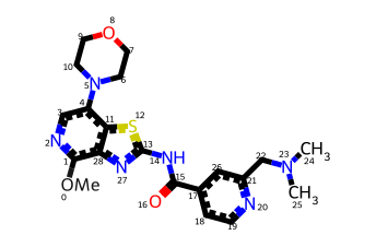 COc1ncc(N2CCOCC2)c2sc(NC(=O)c3ccnc(CN(C)C)c3)nc12